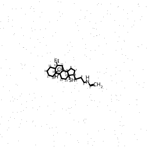 C=CNCCCC1CCC2C3C[C@H](CC)C4CCCCC4(C)[C@H]3CCC12S